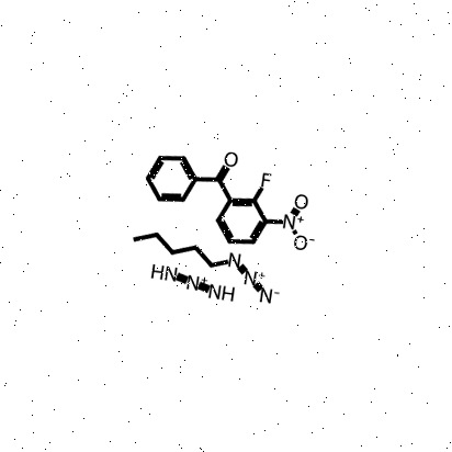 CCCCCN=[N+]=[N-].N=[N+]=N.O=C(c1ccccc1)c1cccc([N+](=O)[O-])c1F